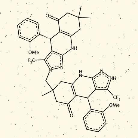 COc1ccccc1C1C2=C(CC(C)(Cn3nc4c(c3C(F)(F)F)[C@H](c3ccccc3OC)C3=C(CC(C)(C)CC3=O)N4)CC2=O)Nc2n[nH]c(C(F)(F)F)c21